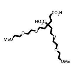 COCCOCCOCCC(CCOCCOCCOC)(CCC(=O)O)C(=O)O